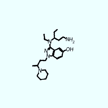 CCC(CCN)N(CC)c1nn(CCC(C)N2CCCCC2)c2ccc(O)cc12